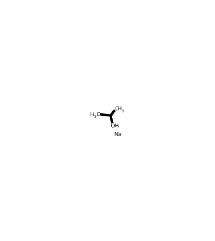 CC(C)O.[Na]